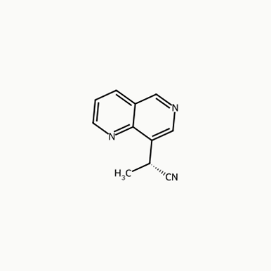 C[C@@H](C#N)c1cncc2cccnc12